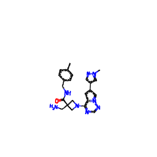 Cc1ccc(CNC(=O)C2(CN)CN(c3ncnn4cc(-c5cnn(C)c5)cc34)C2)cc1